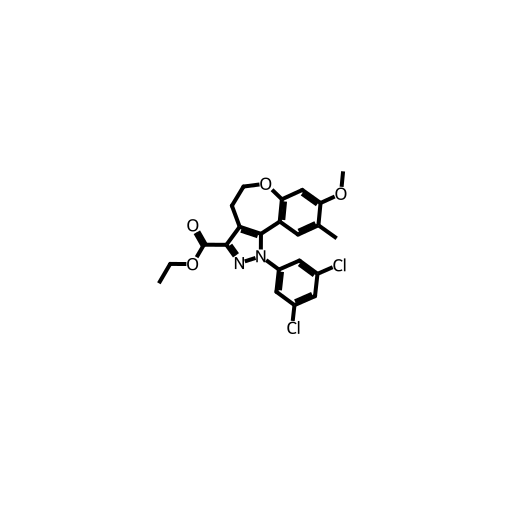 CCOC(=O)c1nn(-c2cc(Cl)cc(Cl)c2)c2c1CCOc1cc(OC)c(C)cc1-2